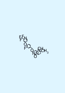 C[C@H]1CCn2c(cc(OCc3ccc(Oc4ccnc(C(F)(F)F)c4)c(F)c3)nc2=O)N1C